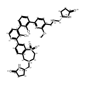 COc1nc(-c2cccc(-c3ccnc(-c4ccc5c(c4)S(=O)(=O)CCN(C[C@H]4CCC(=O)N4)C5)c3Cl)c2Cl)ccc1CNC[C@@H]1CCC(=O)N1